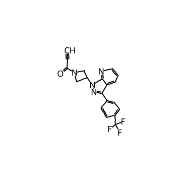 C#CC(=O)N1CC(n2nc(-c3ccc(C(F)(F)F)cc3)c3cccnc32)C1